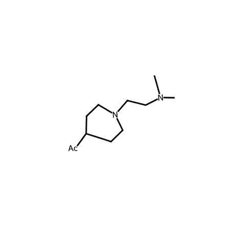 CC(=O)C1CCN(CCN(C)C)CC1